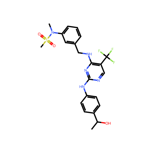 CC(O)c1ccc(Nc2ncc(C(F)(F)F)c(NCc3cccc(N(C)S(C)(=O)=O)c3)n2)cc1